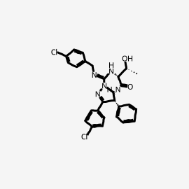 C[C@@H](O)[C@@H](N/C(=N\Cc1ccc(Cl)cc1)N1C[C@H](c2ccccc2)C(c2ccc(Cl)cc2)=N1)C(N)=O